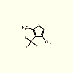 Cc1noc(C)c1[B-](F)(F)F